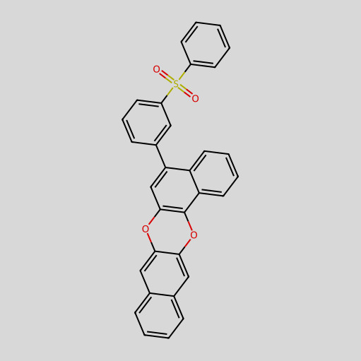 O=S(=O)(c1ccccc1)c1cccc(-c2cc3c(c4ccccc24)Oc2cc4ccccc4cc2O3)c1